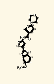 O=C(Nc1cc(-c2nc3cc(OC(F)(F)F)ccc3[nH]2)[nH]n1)c1ccc(N2CCOCC2)nc1